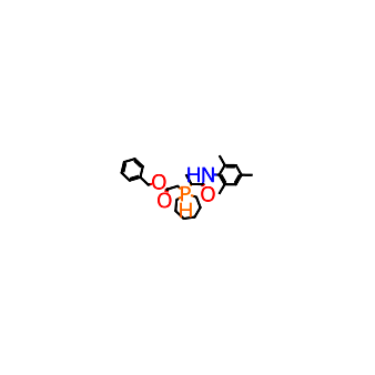 Cc1cc(C)c(NC(=O)C(C)[PH]2(CC(=O)OCc3ccccc3)CCCCCC2)c(C)c1